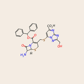 NC1C(=O)N2C(C(=O)OC(c3ccccc3)c3ccccc3)=C(CSc3cc(C(=O)O)nc4nc(CO)nn34)CS[C@@H]12